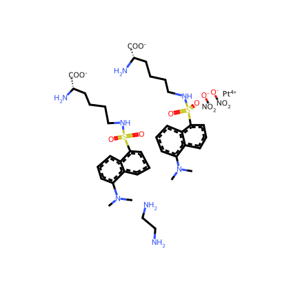 CN(C)c1cccc2c(S(=O)(=O)NCCCC[C@H](N)C(=O)[O-])cccc12.CN(C)c1cccc2c(S(=O)(=O)NCCCC[C@H](N)C(=O)[O-])cccc12.NCCN.O=[N+]([O-])[O-].O=[N+]([O-])[O-].[Pt+4]